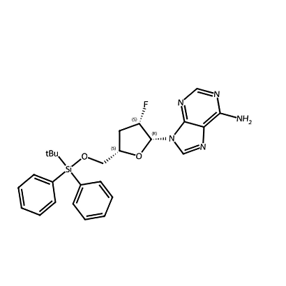 CC(C)(C)[Si](OC[C@@H]1C[C@H](F)[C@H](n2cnc3c(N)ncnc32)O1)(c1ccccc1)c1ccccc1